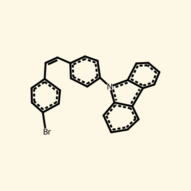 Brc1ccc(/C=C\c2ccc(-n3c4ccccc4c4ccccc43)cc2)cc1